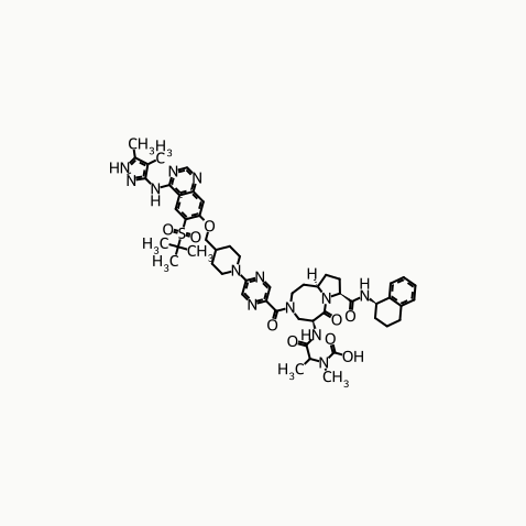 Cc1[nH]nc(Nc2ncnc3cc(OCC4CCN(c5cnc(C(=O)N6CC[C@H]7CC[C@@H](C(=O)N[C@@H]8CCCc9ccccc98)N7C(=O)[C@@H](NC(=O)C(C)N(C)C(=O)O)C6)cn5)CC4)c(S(=O)(=O)C(C)(C)C)cc23)c1C